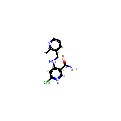 Cc1ncccc1CNc1cc(Cl)ncc1C(N)=O